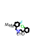 CNc1ccc(F)cc1CN(C=O)CCc1ccccc1Cl